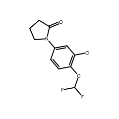 O=C1CCCN1c1ccc(OC(F)F)c(Cl)c1